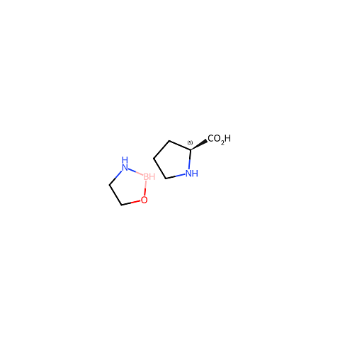 B1NCCO1.O=C(O)[C@@H]1CCCN1